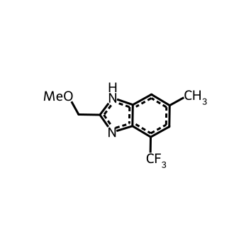 COCc1nc2c(C(F)(F)F)cc(C)cc2[nH]1